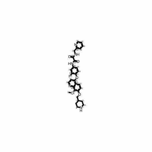 COc1c(OCC2CCNCC2)ccc2c(Oc3ccc(NC(=O)C(=O)NCc4ccccn4)cc3F)ccnc12